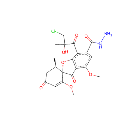 COC1=CC(=O)C[C@@H](C)[C@]12Oc1c(c(OC)cc(C(=O)NN)c1C(=O)C(C)(O)CCl)C2=O